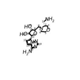 NC[C@@H]1COCCN1CC1O[C@@H](c2ccc3c(N)ncnn23)[C@H](O)[C@@H]1O